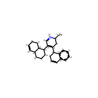 CC(C)C1CC(C2CC=Cc3ccccc32)=C(C2CCCC3C=CCCC32)C=N1